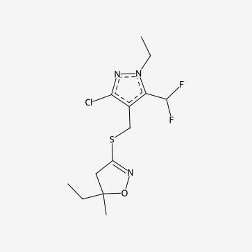 CCn1nc(Cl)c(CSC2=NOC(C)(CC)C2)c1C(F)F